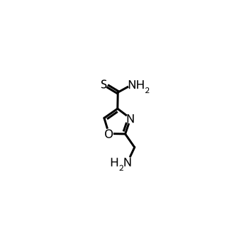 NCc1nc(C(N)=S)co1